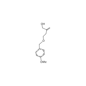 C=C(CO)CCOCc1ccc(OC)cc1